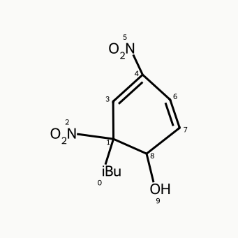 CCC(C)C1([N+](=O)[O-])C=C([N+](=O)[O-])C=CC1O